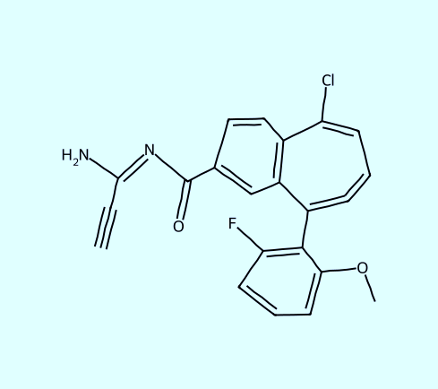 C#C/C(N)=N\C(=O)c1ccc2c(c1)C(c1c(F)cccc1OC)=C=CC=C2Cl